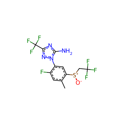 Cc1cc(F)c(-n2nc(C(F)(F)F)nc2N)cc1[S@+]([O-])CC(F)(F)F